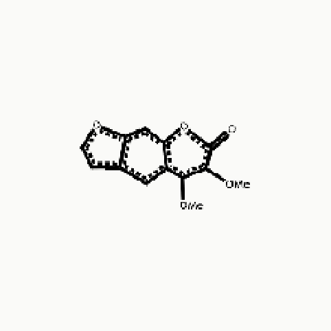 COc1c(OC)c2cc3ccoc3cc2oc1=O